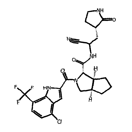 N#CC(C[C@@H]1CCNC1=O)NC(=O)[C@@H]1[C@H]2CCC[C@H]2CN1C(=O)c1cc2c(Cl)ccc(C(F)(F)F)c2[nH]1